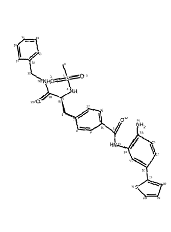 CS(=O)(=O)N[C@@H](Cc1ccc(C(=O)Nc2cc(-c3cccs3)ccc2N)cc1)C(=O)NCc1ccccc1